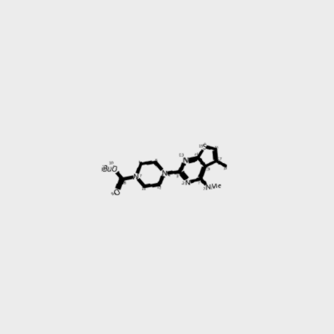 CNc1nc(N2CCN(C(=O)OCC(C)C)CC2)nc2scc(C)c12